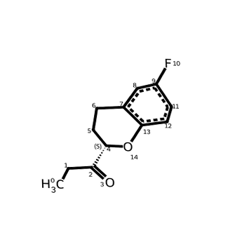 CCC(=O)[C@@H]1CCc2cc(F)ccc2O1